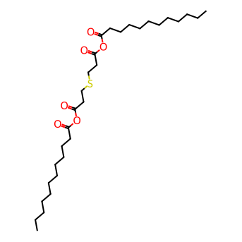 CCCCCCCCCCCC(=O)OC(=O)CCSCCC(=O)OC(=O)CCCCCCCCCCC